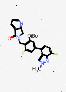 CC(C)COc1cc(-c2ccc(F)c3nn(C)cc23)cc(F)c1CN1Cc2ncccc2C1=O